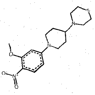 COc1cc(N2CCC(N3CCSCC3)CC2)ccc1[N+](=O)[O-]